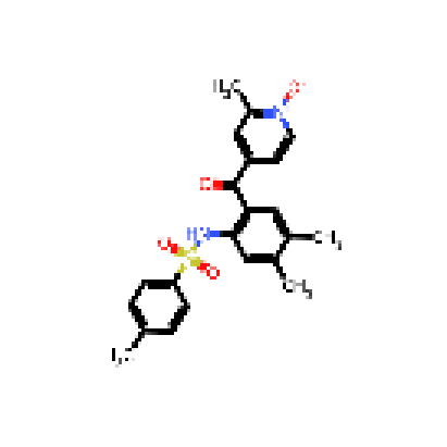 Cc1ccc(S(=O)(=O)Nc2cc(C)c(C)cc2C(=O)c2cc[n+]([O-])c(C)c2)cc1